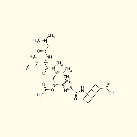 CC[C@H](C)[C@H](NC(=O)CN(C)C)C(=O)N(C)[C@H](C[C@@H](OC(C)=O)c1nc(C(=O)NC23C4C5C2C2C3C4C52C(=O)O)cs1)C(C)C